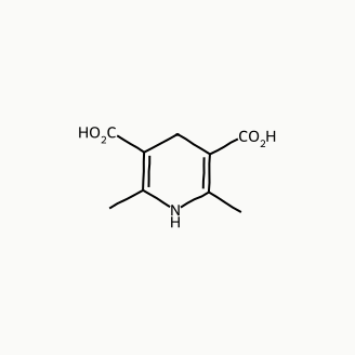 CC1=C(C(=O)O)CC(C(=O)O)=C(C)N1